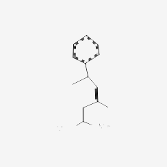 COC(CC(C)=CC(C)c1ccccc1)OC